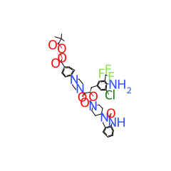 CC(C)(C)C(=O)OCOC(=O)c1ccc(N2CCN(C(=O)[C@@H](Cc3cc(Cl)c(N)c(C(F)(F)F)c3)OC(=O)N3CCC(N4Cc5ccccc5NC4=O)CC3)CC2)cc1